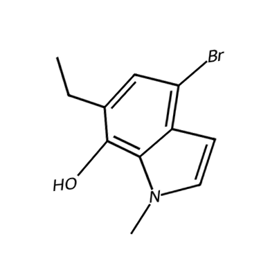 CCc1cc(Br)c2ccn(C)c2c1O